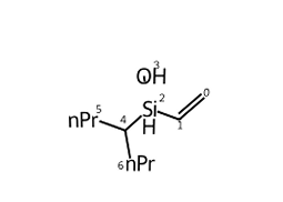 C=C[SiH](O)C(CCC)CCC